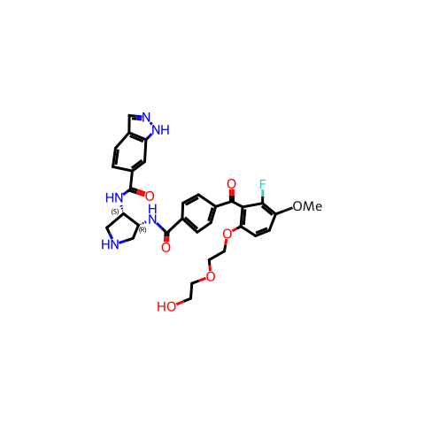 COc1ccc(OCCOCCO)c(C(=O)c2ccc(C(=O)N[C@@H]3CNC[C@@H]3NC(=O)c3ccc4cn[nH]c4c3)cc2)c1F